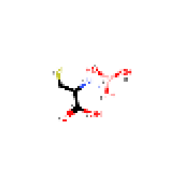 NC(CS)C(=O)O.OB(O)O